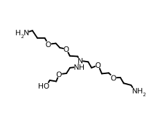 NCCCOCCOCCN(CCOCCOCCCN)NCCOCCO